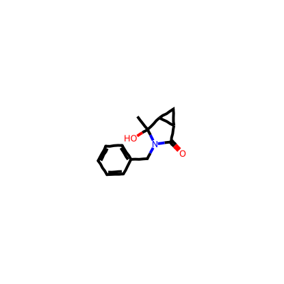 CC1(O)C2CC2C(=O)N1Cc1ccccc1